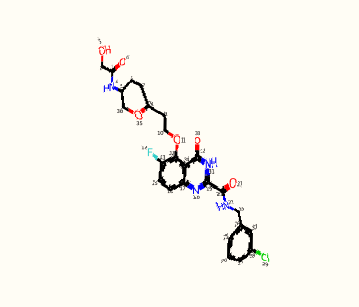 O=C(CO)NC1CCC(CCOc2c(F)ccc3nc(C(=O)NCc4cccc(Cl)c4)[nH]c(=O)c23)OC1